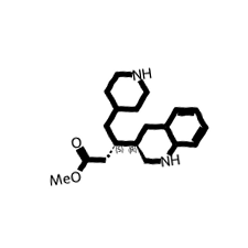 COC(=O)C[C@H](CC1CCNCC1)[C@@H]1CNC2C=CC=CC2C1